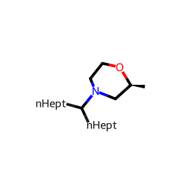 CCCCCCCC(CCCCCCC)N1CCO[C@@H](C)C1